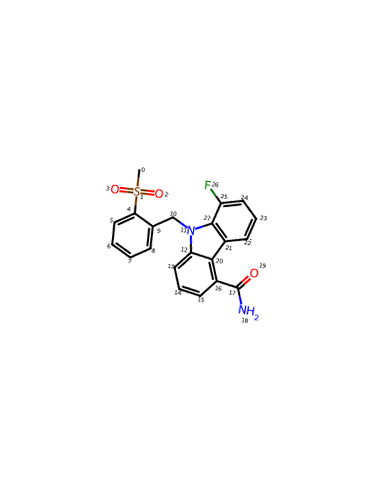 CS(=O)(=O)c1ccccc1Cn1c2cccc(C(N)=O)c2c2[c]ccc(F)c21